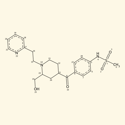 CS(=O)(=O)Nc1ccc(C(=O)C2CCN(CCc3ccccn3)C(CO)C2)cc1